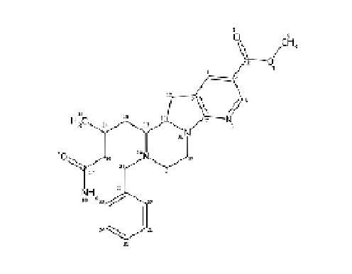 COC(=O)c1cnc2c(c1)CC1C(CC(C)CC(N)=O)N(Cc3ccccc3)CCN21